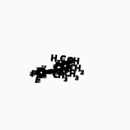 Cc1c(C)c2c(c(C)c1O)CCC(C)(C#Cc1ccc(F)c(F)c1)O2